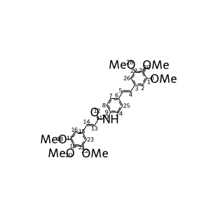 COc1cc(C=Cc2ccc(NC(=O)/C=C/c3cc(OC)c(OC)c(OC)c3)cc2)cc(OC)c1OC